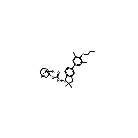 CCCOc1c(C)cc(-c2ccc3c(c2)CC(C)(C)[C@H]3NC(=O)O[C@@H]2CN3CCC2CC3)cc1C